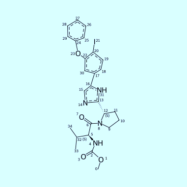 COC(=O)N[C@H](C(=O)N1CCC[C@H]1c1ncc(-c2ccc(I)c(Oc3ccccc3)c2)[nH]1)C(C)C